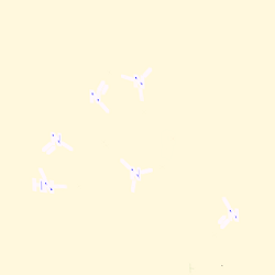 CC(F)(F)c1ncc(C(=O)N2CCc3[nH]cnc3[C@@H]2c2cn3ccccc3n2)s1